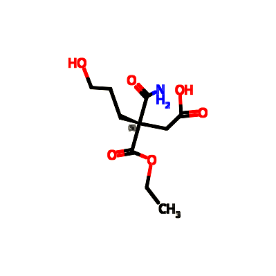 CCOC(=O)[C@@](CCCO)(CC(=O)O)C(N)=O